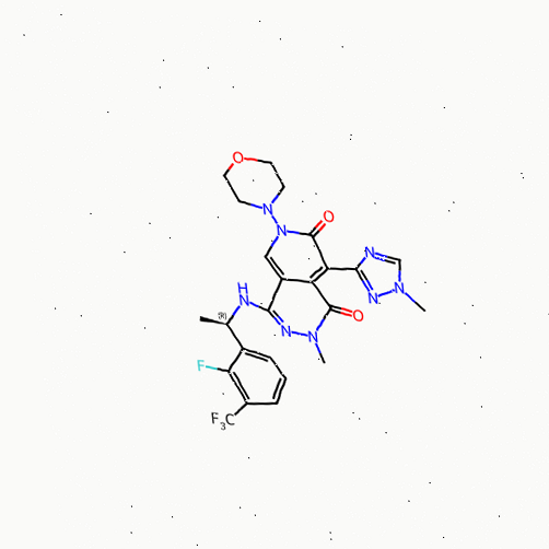 C[C@@H](Nc1nn(C)c(=O)c2c(-c3ncn(C)n3)c(=O)n(N3CCOCC3)cc12)c1cccc(C(F)(F)F)c1F